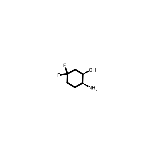 N[C@H]1CCC(F)(F)C[C@H]1O